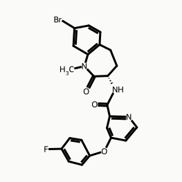 CN1C(=O)[C@@H](NC(=O)c2cc(Oc3ccc(F)cc3)ccn2)CCc2ccc(Br)cc21